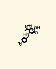 Cc1ncnc2c1c(NCc1ccc(N(C)C)cc1)cc(=O)n2O